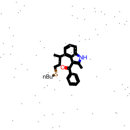 CCCCSCCC(C)c1cccc2[nH]c(C)c(C(=O)c3ccccc3)c12